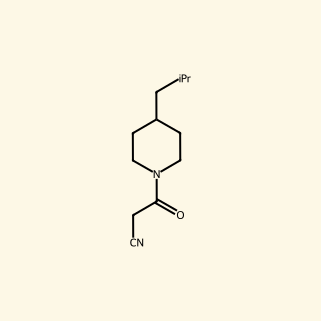 CC(C)CC1CCN(C(=O)CC#N)CC1